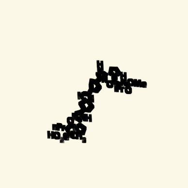 CCC[C@H](C(=O)N1CCC[C@H]1c1ncc(-c2ccc3nc(-c4ccc(-c5c[nH]c([C@@H]6CCCN6C(=O)[C@@H](NC(=O)OC)C(C)C)n5)cc4)cnc3c2)[nH]1)N(C)C(=O)O